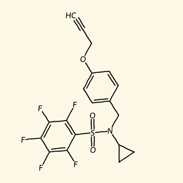 C#CCOc1ccc(CN(C2CC2)S(=O)(=O)c2c(F)c(F)c(F)c(F)c2F)cc1